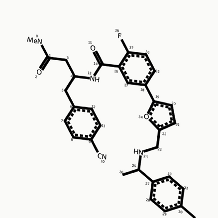 CNC(=O)CC(Cc1ccc(C#N)cc1)NC(=O)c1cc(-c2ccc(CNC(C)c3ccc(C)cc3)o2)ccc1F